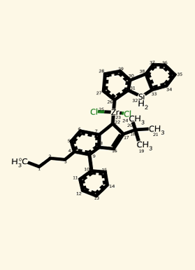 CCCCc1ccc2c(c1-c1ccccc1)C=C(C(C)(C)C)[CH]2[Zr]([Cl])([Cl])[c]1cccc2c1[SiH2]c1ccccc1-2